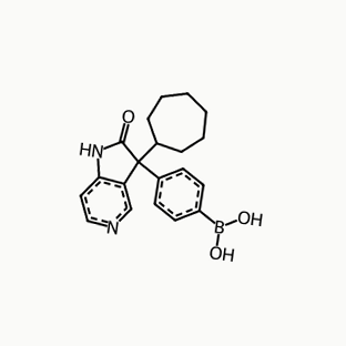 O=C1Nc2ccncc2C1(c1ccc(B(O)O)cc1)C1CCCCCC1